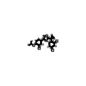 CC(C)Oc1ccc(-c2noc(C3(c4ccc(Cl)cc4Cl)CC3)n2)cc1Cl